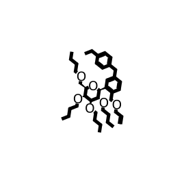 C=CCOCc1ccc(Cc2ccc(CC)cc2)cc1[C@@H]1O[C@H](COCCCC)[C@@H](OCCCC)[C@H](OCCCC)[C@H]1OCCCC